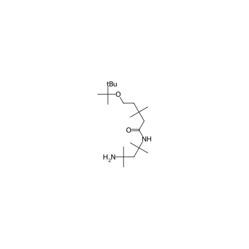 CC(C)(N)CC(C)(C)NC(=O)CC(C)(C)CCOC(C)(C)C(C)(C)C